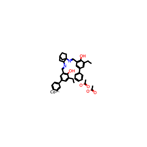 CC(=O)[O-].CC(=O)[O-].CCc1cc(-c2ccccc2)cc(C=NC2CC3CCC2(N=Cc2cc(-c4ccccc4)cc(CC)c2O)C3)c1O.[Co+2]